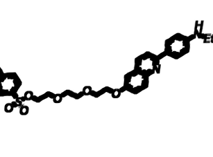 CCNc1ccc(-c2ccc3cc(OCCOCCOCCOS(=O)(=O)c4ccc(C)cc4)ccc3n2)cc1